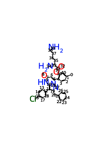 Cc1ccc(-c2cc(=O)[nH]c3c(-c4ccc(Cl)cc4)c(Cc4ccccc4)nn23)c(OC(=O)[C@@H](N)CCCCN)c1